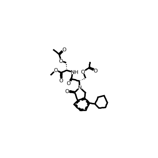 COC(=O)[C@H](COC(C)=O)NC(=O)[C@H](COC(C)=O)N1Cc2c(cccc2C2CCCCC2)C1=O